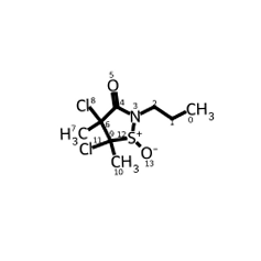 CCCN1C(=O)C(C)(Cl)C(C)(Cl)[S+]1[O-]